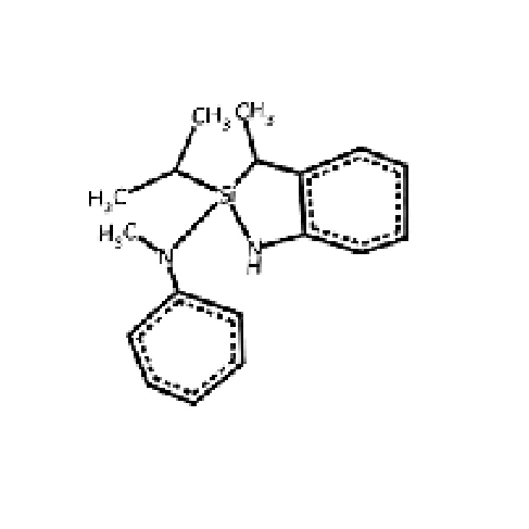 CC(C)[Si]1(N(C)c2ccccc2)Nc2ccccc2C1C